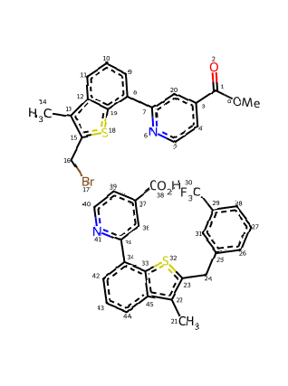 COC(=O)c1ccnc(-c2cccc3c(C)c(CBr)sc23)c1.Cc1c(Cc2cccc(C(F)(F)F)c2)sc2c(-c3cc(C(=O)O)ccn3)cccc12